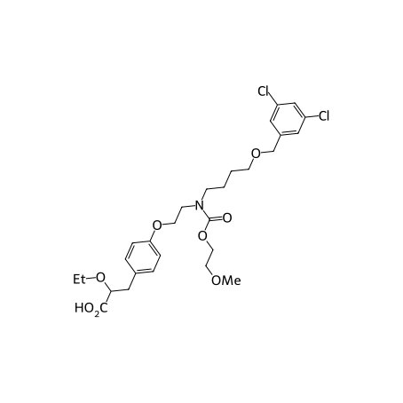 CCOC(Cc1ccc(OCCN(CCCCOCc2cc(Cl)cc(Cl)c2)C(=O)OCCOC)cc1)C(=O)O